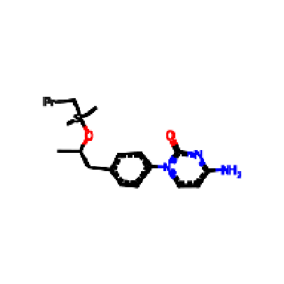 CC(C)C[Si](C)(C)OC(C)Cc1ccc(-n2ccc(N)nc2=O)cc1